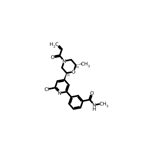 C=CC(=O)N1C[C@H](C)O[C@@H](c2cc(Cl)nc(-c3cccc(C(=O)NC)c3)c2)C1